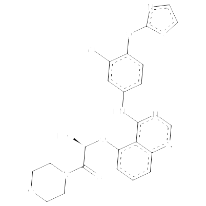 C[C@@H](Oc1cccc2ncnc(Nc3ccc(Oc4nccs4)c(Cl)c3)c12)C(=O)N1CCOCC1